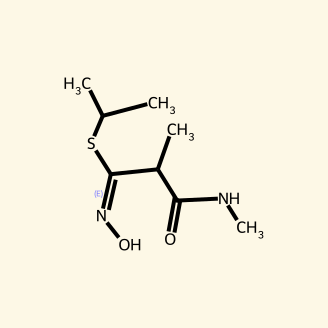 CNC(=O)C(C)/C(=N\O)SC(C)C